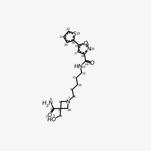 NC(=O)C1(CO)CN(CCCCCNC(=O)c2cc(-c3cccs3)on2)C1